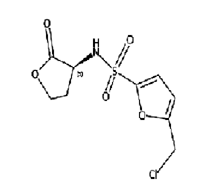 O=C1OCC[C@@H]1NS(=O)(=O)c1ccc(CCl)o1